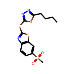 CCCCc1nnc(Sc2nc3ccc(S(C)(=O)=O)cc3s2)s1